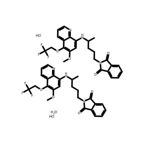 COc1cc(NC(C)CCCN2C(=O)c3ccccc3C2=O)c2ncccc2c1OCC(F)(F)F.COc1cc(NC(C)CCCN2C(=O)c3ccccc3C2=O)c2ncccc2c1OCC(F)(F)F.Cl.Cl.O